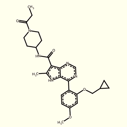 CCC(=O)N1CCC(NC(=O)c2c(C)[nH]c3c(-c4ccc(OC)cc4OCC4CC4)ncnc23)CC1